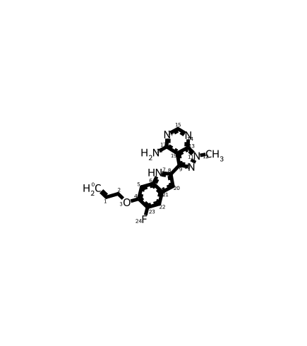 C=CCOc1cc2[nH]c(-c3nn(C)c4ncnc(N)c34)cc2cc1F